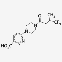 CC(CC(=O)N1CCN(c2ccc(C(=O)O)nn2)CC1)C(F)(F)F